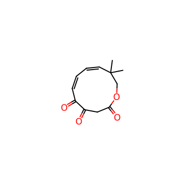 CC1(C)C=CC=CC(=O)C(=O)CC(=O)OC1